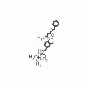 C/C(=C/C(=O)OCc1ccccc1)Nc1ccc(CNC(=O)OC(C)(C)C)cc1I